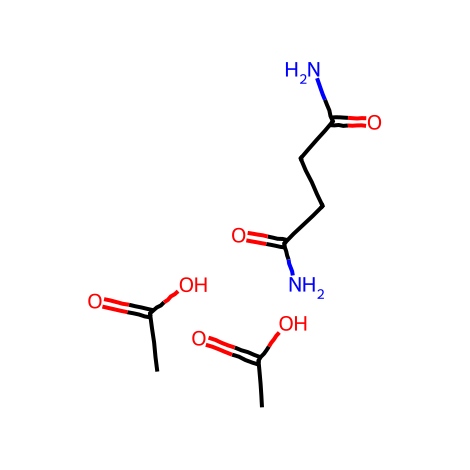 CC(=O)O.CC(=O)O.NC(=O)CCC(N)=O